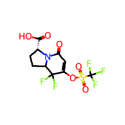 O=C(O)[C@H]1CCC2N1C(=O)C=C(OS(=O)(=O)C(F)(F)F)C2(F)F